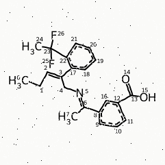 CC/C=C(\C/N=C(\C)c1cccc(C(=O)O)c1)c1ccccc1C(C)(F)F